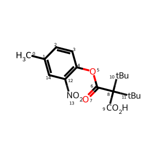 Cc1ccc(OC(=O)C(C(=O)O)(C(C)(C)C)C(C)(C)C)c([N+](=O)[O-])c1